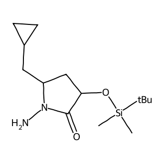 CC(C)(C)[Si](C)(C)OC1CC(CC2CC2)N(N)C1=O